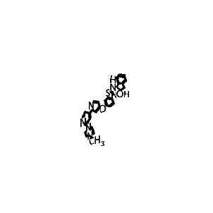 CN1CCN(c2cc(-c3cc(Oc4ccc5nc(N[C@@H]6c7ccccc7C[C@@H]6O)sc5c4)ccn3)ccn2)CC1